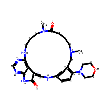 CN1CCCC(=O)N(C)CCCNc2ncnc3c2/C(=C\Nc2ccc(N4CCOCC4)c(c2)C1)C(=O)N3